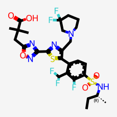 CC[C@@H](C)NS(=O)(=O)c1ccc(-c2sc(-c3noc(CC(C)(C)C(=O)O)n3)nc2CN2CCCC(F)(F)C2)c(C(F)F)c1F